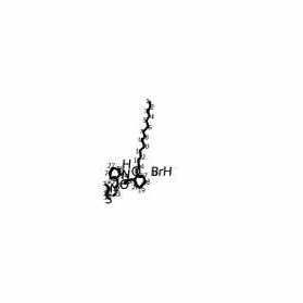 Br.CCCCCCCCCCCCCCOc1ccccc1C(=O)Nc1ccccc1CN1CSC=C1C